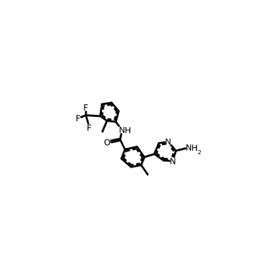 Cc1ccc(C(=O)Nc2cccc(C(F)(F)F)c2C)cc1-c1cnc(N)nc1